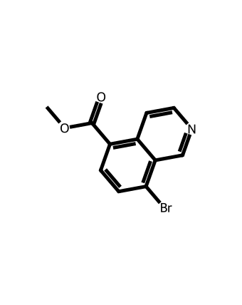 COC(=O)c1ccc(Br)c2cnccc12